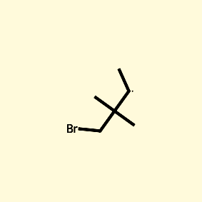 C[CH]C(C)(C)CBr